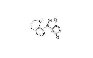 SN(c1cccc2c1OCCC2)c1nc(Cl)ncc1Cl